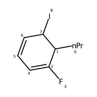 CCCC1C(F)=CC=CC1I